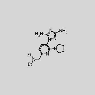 CCN(CC)Cc1ccc(-n2nc(N)nc2N)c(N2CCCC2)n1